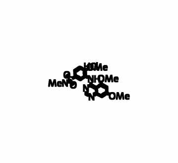 CNS(=O)(=O)c1ccc(OC)c(Nc2ncnc3cc(OC)cc(OC)c23)c1.Cl